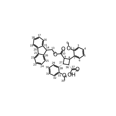 COc1ccccc1C1C(C(=O)OCC2c3ccccc3-c3ccccc32)[C@@H](c2ccccc2OC)[C@H]1C(=O)O